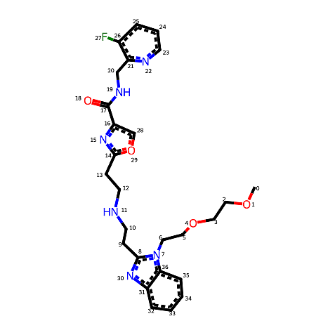 COCCOCCn1c(CCNCCc2nc(C(=O)NCc3ncccc3F)co2)nc2ccccc21